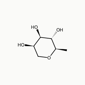 C[C@H]1OC[C@@H](O)[C@@H](O)[C@@H]1O